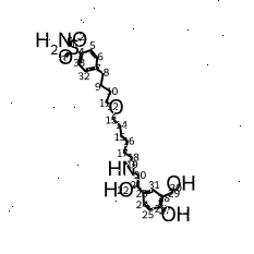 NS(=O)(=O)c1ccc(CCCCOCCCCCCNC[C@H](O)c2ccc(O)c(CO)c2)cc1